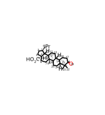 CC(C)[C@@H]1CC[C@]2(C(=O)O)CC[C@]3(C)[C@H](CC[C@@H]4[C@@]5(C)CCC(=O)C(C)(C)[C@@H]5CC[C@]43C)[C@@H]12